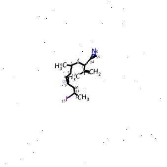 C=C(C)C(CC(C)C/C=C\CC(C)I)C1=C=N1